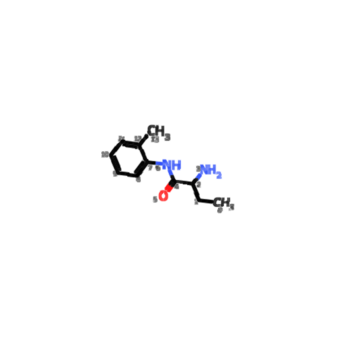 CCC(N)C(=O)Nc1ccccc1C